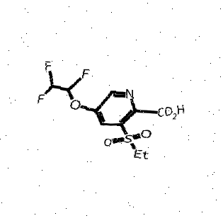 CCS(=O)(=O)c1cc(OC(F)C(F)F)cnc1C(=O)O